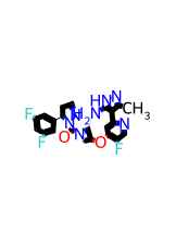 Cc1n[nH]c(N)c1-c1cc(OC2CN(C(=O)N3N=CC[C@H]3c3cc(F)cc(F)c3)C2)c(F)cn1